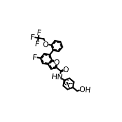 O=C(NC12CCC(CO)(CC1)CC2)c1cc2cc(F)cc(-c3ccccc3OCC(F)(F)F)c2o1